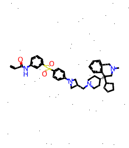 C=CC(=O)Nc1cccc(S(=O)(=O)c2ccc(N3CC(CN4CCC([C@@]5(C6CCCC6)CN(C)Cc6ccccc65)CC4)C3)cc2)c1